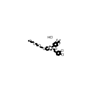 COCCOCCOCCO[C@H]1CCN(C[C@H](c2ccc(C(F)(F)F)cc2)N(C)C(=O)Cc2ccc(Cl)c(Cl)c2)C1.Cl